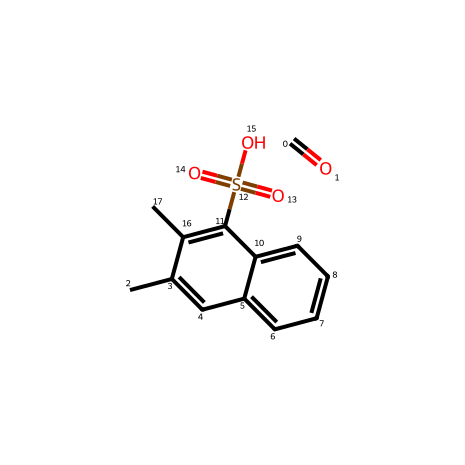 C=O.Cc1cc2ccccc2c(S(=O)(=O)O)c1C